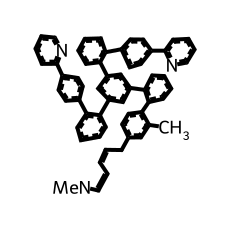 CN/C=C\C=C/Cc1ccc(-c2ccccc2-c2cc(-c3ccccc3-c3ccc(-c4ccccn4)cc3)cc(-c3ccccc3-c3ccc(-c4ccccn4)cc3)c2)c(C)c1